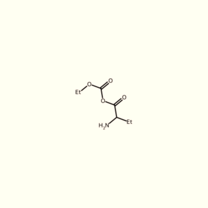 CCOC(=O)OC(=O)C(N)CC